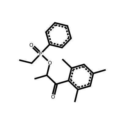 CCP(=O)(OC(C)C(=O)c1c(C)cc(C)cc1C)c1ccccc1